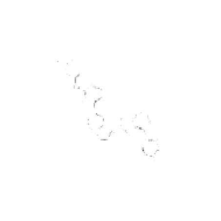 CN(C)CC(=O)Nc1cncc(-c2cnc3[nH]nc(-c4nc5c(-c6ccncc6)ccnc5[nH]4)c3c2)c1